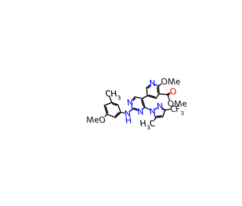 COC(=O)c1cc(-c2cnc(Nc3cc(C)cc(OC)c3)nc2-n2nc(C(F)(F)F)cc2C)cnc1OC